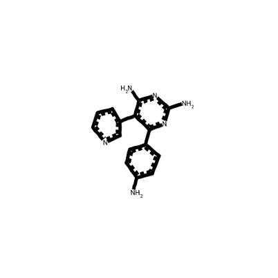 Nc1ccc(-c2nc(N)nc(N)c2-c2cccnc2)cc1